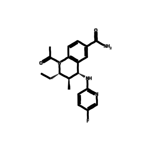 CC[C@H]1[C@H](C)[C@@H](Nc2ccc(F)cn2)c2cc(C(N)=O)ccc2N1C(C)=O